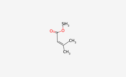 CC(C)=CC(=O)O[SiH3]